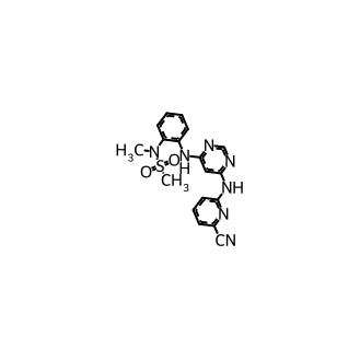 CN(c1ccccc1Nc1cc(Nc2cccc(C#N)n2)ncn1)S(C)(=O)=O